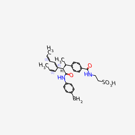 Bc1ccc(NC(=O)[C@@H](C(/C=C\C)=C/C=C\C)C(C)c2ccc(C(=O)NCCS(=O)(=O)O)cc2)cc1